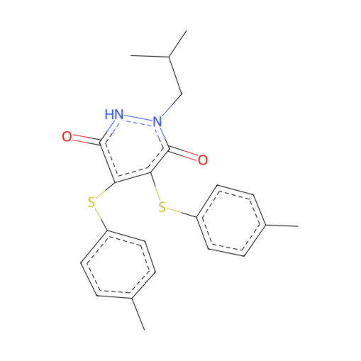 Cc1ccc(Sc2c(Sc3ccc(C)cc3)c(=O)n(CC(C)C)[nH]c2=O)cc1